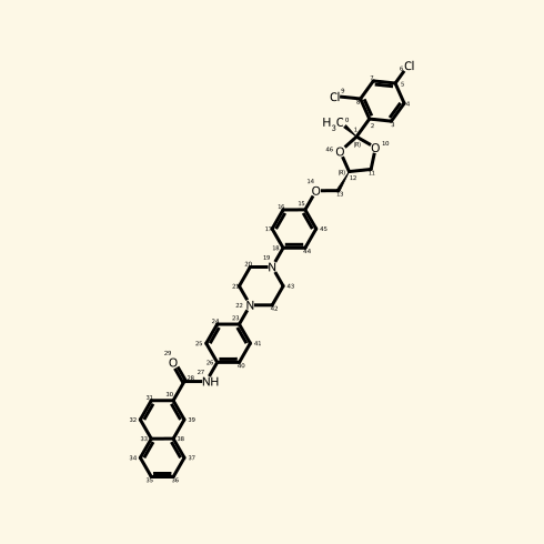 C[C@@]1(c2ccc(Cl)cc2Cl)OC[C@@H](COc2ccc(N3CCN(c4ccc(NC(=O)c5ccc6ccccc6c5)cc4)CC3)cc2)O1